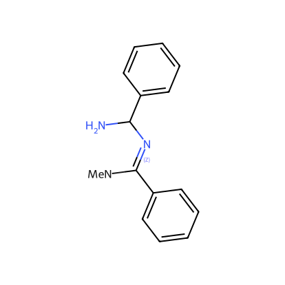 CN/C(=N\C(N)c1ccccc1)c1ccccc1